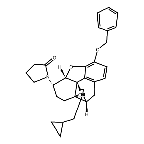 O=C1CCCN1[C@H]1CC[C@@]2(O)[C@H]3Cc4ccc(OCc5ccccc5)c5c4[C@@]2(CCN3CC2CC2)[C@H]1O5